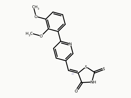 COc1cccc(-c2ccc(/C=C3\SC(=S)NC3=O)cn2)c1OC